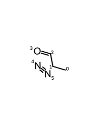 CCC=O.N#N